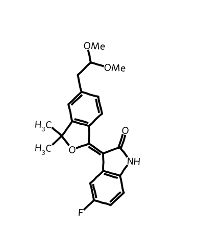 COC(Cc1ccc2c(c1)C(C)(C)O/C2=C1/C(=O)Nc2ccc(F)cc21)OC